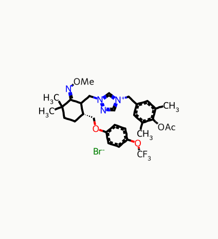 CO/N=C1\C(Cn2c[n+](Cc3cc(C)c(OC(C)=O)c(C)c3)cn2)[C@H](COc2ccc(OC(F)(F)F)cc2)CCC1(C)C.[Br-]